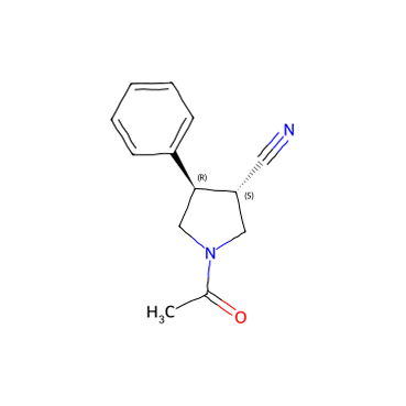 CC(=O)N1C[C@@H](C#N)[C@H](c2ccccc2)C1